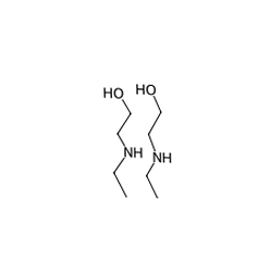 CCNCCO.CCNCCO